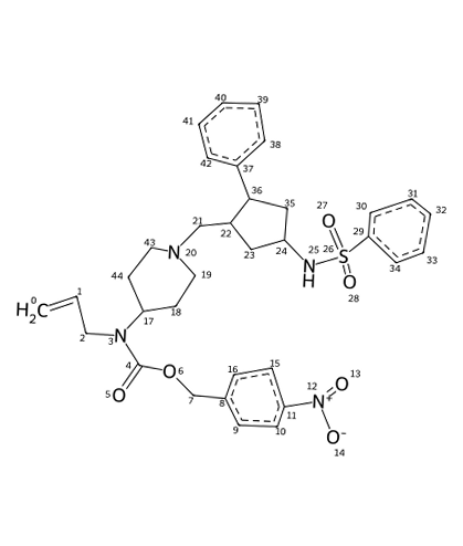 C=CCN(C(=O)OCc1ccc([N+](=O)[O-])cc1)C1CCN(CC2CC(NS(=O)(=O)c3ccccc3)CC2c2ccccc2)CC1